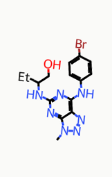 CCC(CO)Nc1nc(Nc2ccc(Br)cc2)c2nnn(C)c2n1